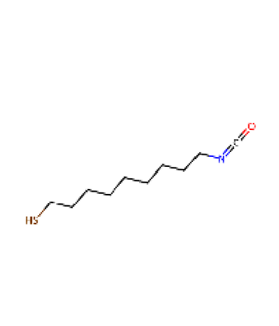 O=C=NCCCCCCCCCS